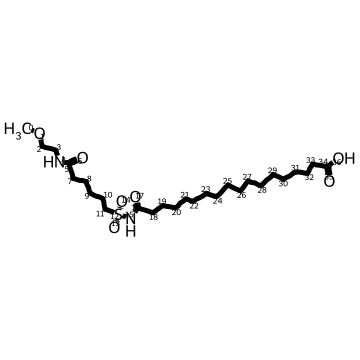 COCCNC(=O)CCCCCS(=O)(=O)NC(=O)CCCCCCCCCCCCCCCCC(=O)O